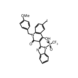 COc1ccc(Cn2c(=O)c(-c3nc4ccccc4n3S(=O)(=O)C(F)(F)F)c(O)c3cc(I)ccc32)cc1